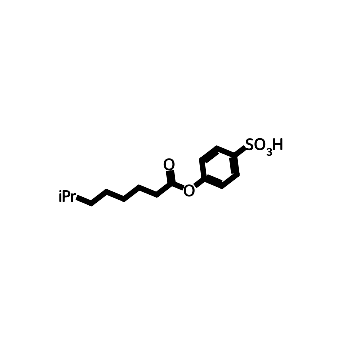 CC(C)CCCCCC(=O)Oc1ccc(S(=O)(=O)O)cc1